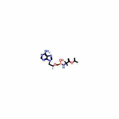 C=C(OC(C)C)C(C)(C)N[P@](O)CO[C@H](C)Cn1cnc2c(N)ncnc21